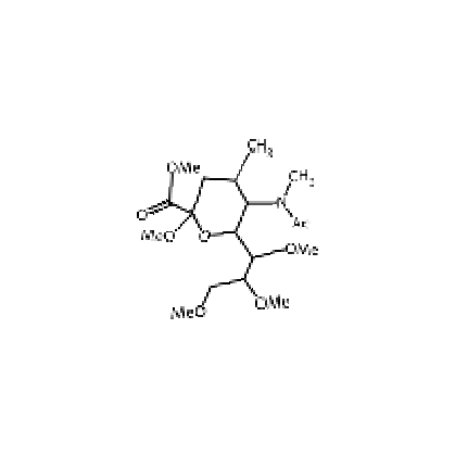 COCC(OC)C(OC)C1OC(OC)(C(=O)OC)CC(C)C1N(C)C(C)=O